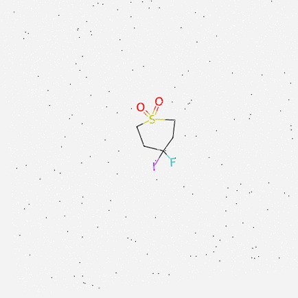 O=S1(=O)CCC(F)(I)CC1